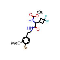 COc1cc(CCNC(=O)C(NC(=O)OC(C)(C)C)C2CC(F)(F)C2)ccc1Br